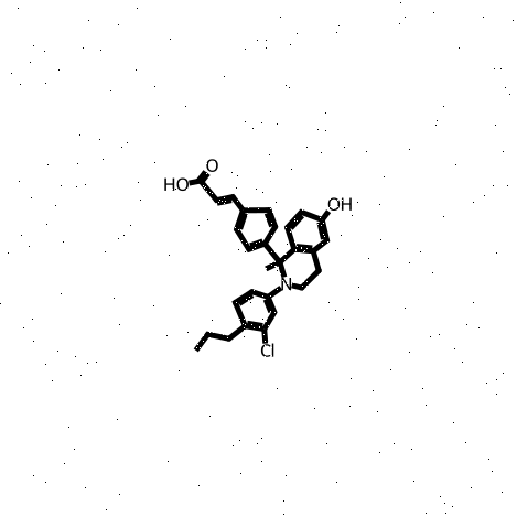 CCCc1ccc(N2CCc3cc(O)ccc3C2(C)c2ccc(/C=C/C(=O)O)cc2)cc1Cl